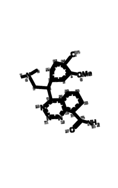 COc1cc(C(CN(C)C)c2nnnc3c(C(N)=O)cccc23)ccc1Cl